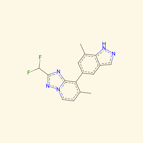 Cc1ccn2nc(C(F)F)nc2c1-c1cc(C)c2[nH]ncc2c1